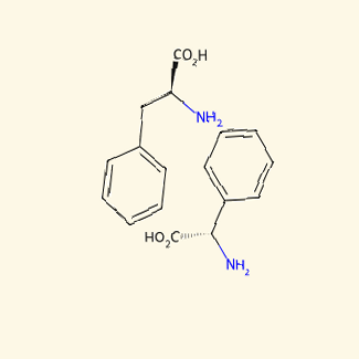 N[C@@H](Cc1ccccc1)C(=O)O.N[C@H](C(=O)O)c1ccccc1